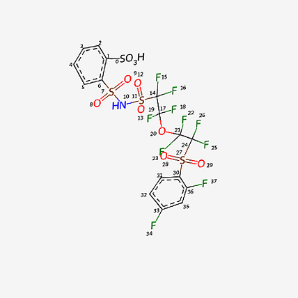 O=S(=O)(O)c1ccccc1S(=O)(=O)NS(=O)(=O)C(F)(F)C(F)(F)OC(F)(F)C(F)(F)S(=O)(=O)c1ccc(F)cc1F